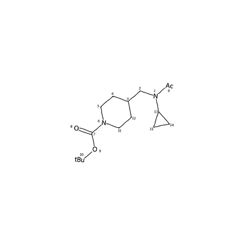 CC(=O)N(CC1CCN(C(=O)OC(C)(C)C)CC1)C1CC1